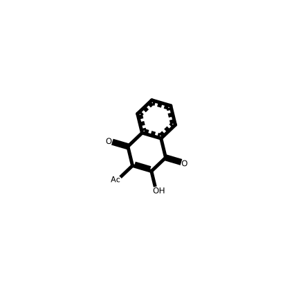 CC(=O)C1=C(O)C(=O)c2ccccc2C1=O